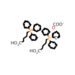 O=C(O)CCCC[P+](c1ccccc1)(c1ccccc1)c1ccccc1.O=C(O)CCCC[P+](c1ccccc1)(c1ccccc1)c1ccccc1.O=C([O-])[O-]